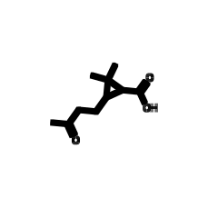 CC(=O)CCC1C(C(=O)O)C1(C)C